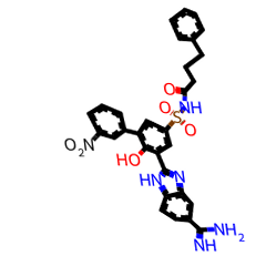 N=C(N)c1ccc2[nH]c(-c3cc(S(=O)(=O)NC(=O)CCCc4ccccc4)cc(-c4cccc([N+](=O)[O-])c4)c3O)nc2c1